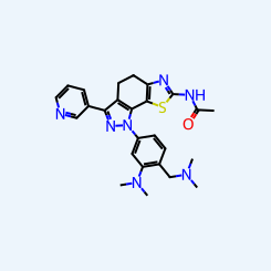 CC(=O)Nc1nc2c(s1)-c1c(c(-c3cccnc3)nn1-c1ccc(CN(C)C)c(N(C)C)c1)CC2